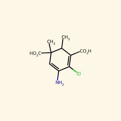 CC1C(C(=O)O)=C(Cl)C(N)=CC1(C)C(=O)O